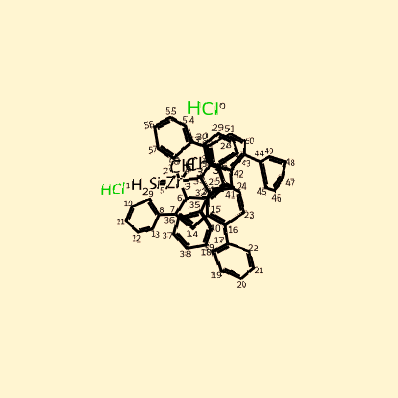 Cl.Cl.[CH3][Zr]([CH3])(=[SiH2])([CH]1C(c2ccccc2)=Cc2c(-c3ccccc3)ccc(-c3ccccc3)c21)[CH]1C(c2ccccc2)=Cc2c(-c3ccccc3)ccc(-c3ccccc3)c21